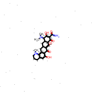 CN1CCCc2cc(O)c3c(c21)CC1CC2C(N(C)C)C(O)=C(C(N)=O)C(=O)[C@]24OC4=C1C3=O